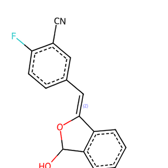 N#Cc1cc(/C=C2\OC(O)c3ccccc32)ccc1F